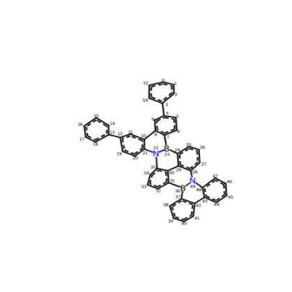 c1ccc(-c2ccc3c(c2)-c2cc(-c4ccccc4)ccc2N2B3c3cccc4c3-c3c(cccc32)B2c3ccccc3-c3ccccc3N24)cc1